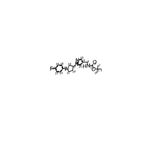 CC(C)(C)OC(=O)NCc1cnn(C2CCN(c3ccc(F)cc3)C2)c1